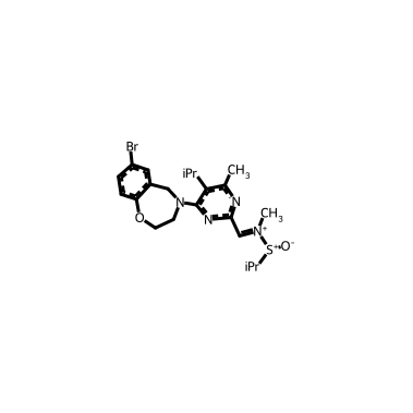 Cc1nc(/C=[N+](\C)[S+]([O-])C(C)C)nc(N2CCOc3ccc(Br)cc3C2)c1C(C)C